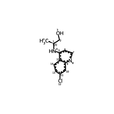 C[C@@H](CO)Nc1ccnc2cc(Cl)ccc12